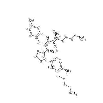 NCCCC[C@H](NC(=O)[C@@H]1CCCN1C(=O)[C@H](Cc1ccc(O)cc1)NC(=O)[C@@H](N)CCCCN)C(=O)O